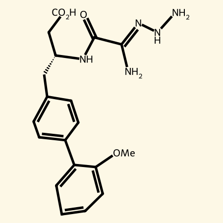 COc1ccccc1-c1ccc(C[C@H](CC(=O)O)NC(=O)/C(N)=N/NN)cc1